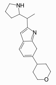 CC(C1=CC2=CC=C(C3CCOCC3)CC2=N1)C1CCCN1